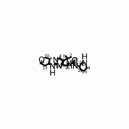 CC1(C)c2cnc(NC3CCOCC3)nc2CN1C(=O)N[C@@H]1CCCNC1